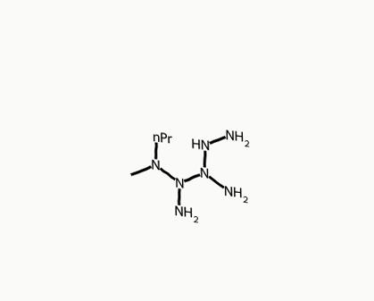 CCCN(C)N(N)N(N)NN